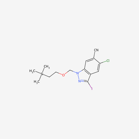 C[Si](C)(C)CCOCn1nc(I)c2cc(Cl)c(C#N)cc21